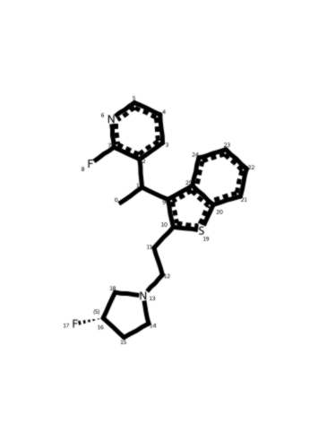 CC(c1cccnc1F)c1c(CCN2CC[C@H](F)C2)sc2ccccc12